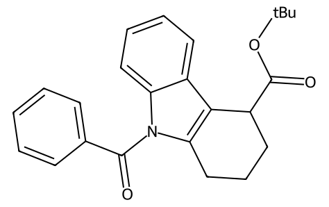 CC(C)(C)OC(=O)C1CCCc2c1c1ccccc1n2C(=O)c1ccccc1